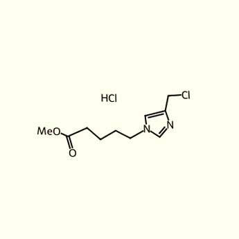 COC(=O)CCCCn1cnc(CCl)c1.Cl